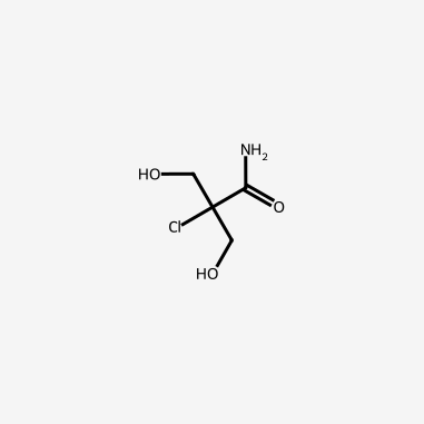 NC(=O)C(Cl)(CO)CO